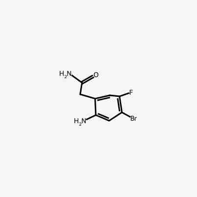 NC(=O)Cc1cc(F)c(Br)cc1N